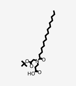 CCCCCCCCCCCCCCCC(=O)N(CCC(=O)O)CC(=O)OC(C)(C)C